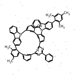 Cc1cc(C)c(-c2ccc3c(c2)c2ccccc2n3-c2ccc3cc2-c2cc(ccc2C#N)-n2c4ccccc4c4cc(ccc42)-c2c(C)cc(C)cc2-c2cccc(c2)-c2nc(-c4ccccc4)nc-3n2)c(C)c1